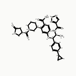 C[C@H](NC(=O)c1cnsn1)[C@H](Oc1ccc(C(=O)O)c([C@@H]2CCCN(C(=O)[C@H]3COC(=O)C3)C2)c1)c1ccc(C2CC2)cc1